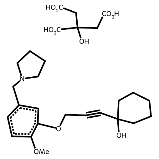 COc1ccc(CN2CCCC2)cc1OCC#CC1(O)CCCCC1.O=C(O)CC(O)(CC(=O)O)C(=O)O